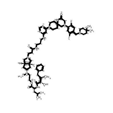 CC(C)C[C@H](NC(=O)[C@@H](O)[C@H](C)Cc1ccccc1)C(=O)NCCN(C)[C@@H]1C[C@@H]2CN(CCC(=O)NCCCNc3cc(N4CCC5(CC4)CN(c4cc(F)c(CN6CCC(C)(C)CC6)cc4F)CC(=O)N5)ncn3)C[C@@H]2C1